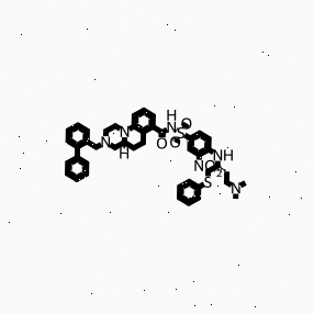 CN(C)CC[C@H](CSc1ccccc1)Nc1ccc(S(=O)(=O)NC(=O)c2cccc3c2CC[C@H]2CN(Cc4ccccc4-c4ccccc4)CCN32)cc1[N+](=O)[O-]